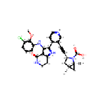 COc1c(Cl)cccc1Nc1c(-c2ccncc2C#C[C@@H]2C[C@@H]3C[C@@H]3N2C(=O)O)[nH]c2c1C(=O)NCC2